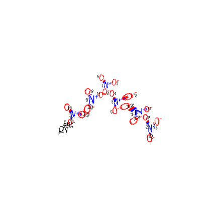 O=[N+]([O-])[O-].O=[N+]([O-])[O-].O=[N+]([O-])[O-].O=[N+]([O-])[O-].O=[N+]([O-])[O-].O=[N+]([O-])[O-].[Dy+3].[Eu+3]